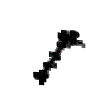 CN(C)c1cc2c(cc1Sc1nc3c(N)ncnc3n1CCNC(=O)CCCCCNC(=O)CCCCCNC(=O)CCCCC1SC[C@@H]3NC(=O)N[C@H]13)OCO2